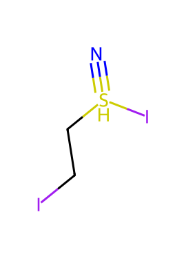 N#[SH](I)CCI